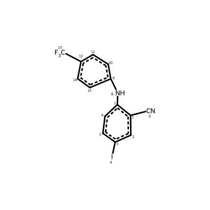 N#Cc1cc(I)ccc1Nc1ccc(C(F)(F)F)cc1